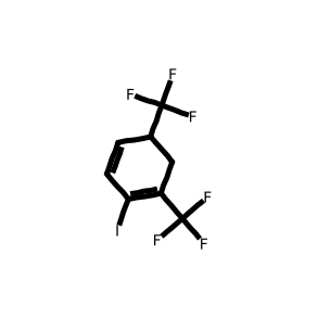 FC(F)(F)C1=C(I)C=CC(C(F)(F)F)C1